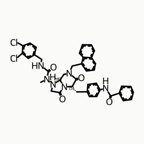 CN(C(=O)NCc1ccc(Cl)c(Cl)c1)N1CC(=O)N2[C@@H](Cc3ccc(NC(=O)c4ccccc4)cc3)C(=O)N(Cc3cccc4ccccc34)C[C@@H]21